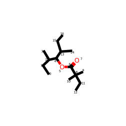 CCC(C)C(OC(=O)C(C)(C)CC)C(C)CC